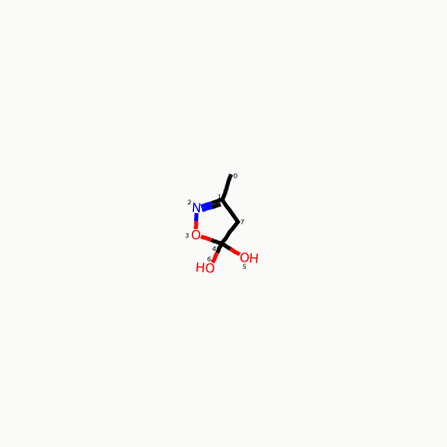 CC1=NOC(O)(O)C1